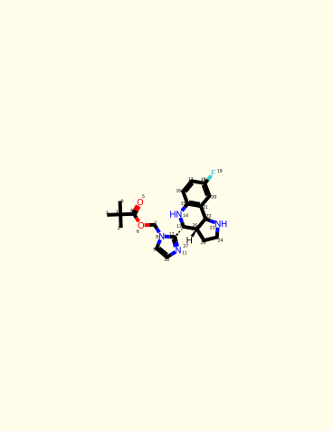 CC(C)(C)C(=O)OCn1ccnc1[C@@H]1Nc2ccc(F)cc2C2NCC[C@@H]21